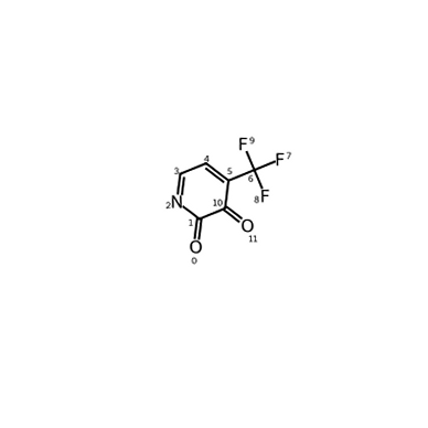 O=C1N=CC=C(C(F)(F)F)C1=O